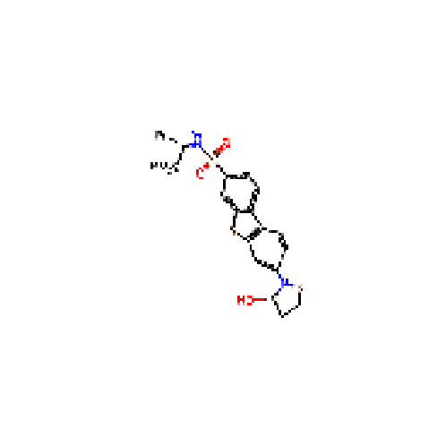 CC(C)[C@H](NS(=O)(=O)c1ccc2c(c1)sc1cc(N3SCCC3O)ccc12)C(=O)O